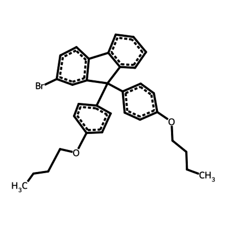 CCCCOc1ccc(C2(c3ccc(OCCCC)cc3)c3ccccc3-c3ccc(Br)cc32)cc1